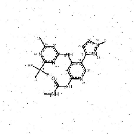 CNC(=O)Nc1cc(Nc2cc(C)nc(C(C)(F)F)n2)c(-c2ccn(C)n2)cn1